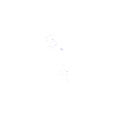 N#Cc1ccc(N2CCC(N3CC4(c5nc6ccc(F)cc6c(=O)[nH]5)CC3C4)CC2)c(F)c1